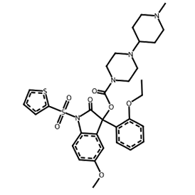 CCOc1ccccc1C1(OC(=O)N2CCN(C3CCN(C)CC3)CC2)C(=O)N(S(=O)(=O)c2cccs2)c2ccc(OC)cc21